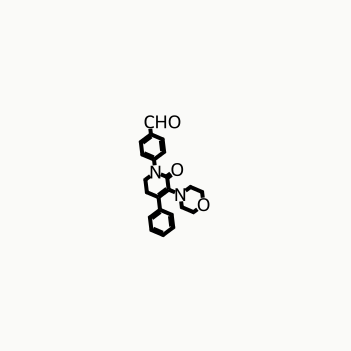 O=Cc1ccc(N2CCC(c3ccccc3)=C(N3CCOCC3)C2=O)cc1